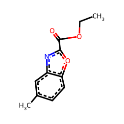 CCOC(=O)c1nc2cc(C)ccc2o1